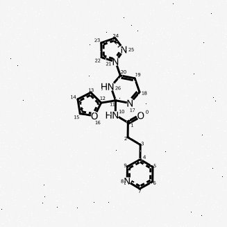 O=C(CCc1cccnc1)NC1(c2ccco2)N=CC=C(n2cccn2)N1